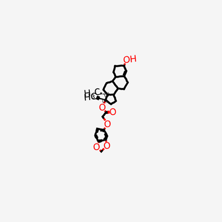 C#C[C@]1(OC(=O)COc2ccc3c(c2)OCO3)CCC2C3CCC4=CC(O)CCC4C3CC[C@@]21CC